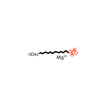 CCCCCCCCCCCCCCCCCCCCCCOP(=O)([O-])[O-].[Mg+2]